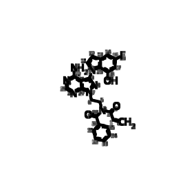 C=CC(=O)N(CCn1nc(-n2ccc3cc(F)cc(O)c32)c2c(N)ncnc21)C(=O)c1ccccc1